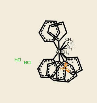 Cl.Cl.[CH3][Zr]([CH3])([CH3])([CH3])([CH3])([C]1=CC=CC1)([c]1ccccc1)([c]1ccccc1)([c]1ccccc1)([c]1ccccc1)[c]1ccc[pH]1